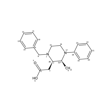 C[C@H]1[C@@H](CC(=O)O)N(Cc2ccccc2)CCN1c1ccccc1